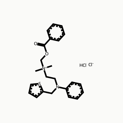 C[N+](C)(CCN(Cc1cccs1)c1ccccc1)COC(=O)c1ccccc1.Cl.[Cl-]